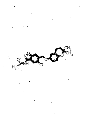 C[S+]([O-])Nc1noc2cc(COc3ccc4c(c3)CCC(C)(C)O4)c(Cl)cc12